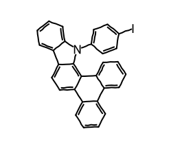 Ic1ccc(-n2c3ccccc3c3ccc4c5ccccc5c5ccccc5c4c32)cc1